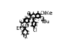 CC[C@@H](C)Oc1cc2c(cc1OC)CC(=O)N(c1ccc(C(C)N(CC)C(=O)C3CCN(C)CC3)cc1)C2c1ccc(Cl)cc1